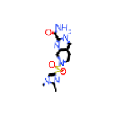 Cc1nc(S(=O)(=O)N2CCc3[c]nc(C(N)=O)nc3C2)cn1C